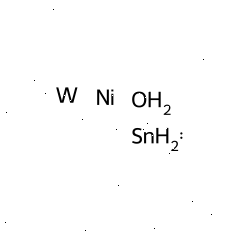 O.[Ni].[SnH2].[W]